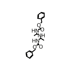 CC(NC(=O)OCc1ccccc1)NC(C)NC(=O)OCc1ccccc1